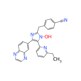 CCc1cccc(-c2c(-c3ccc4nccnc4c3)nc(Cc3ccc(C#N)cc3)n2O)n1